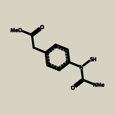 CNC(=O)N(S)c1ccc(CC(=O)OC)cc1